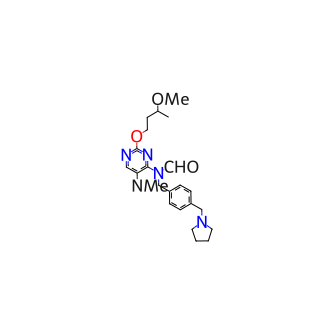 CNc1cnc(OCCC(C)OC)nc1N(C=O)Cc1ccc(CN2CCCC2)cc1